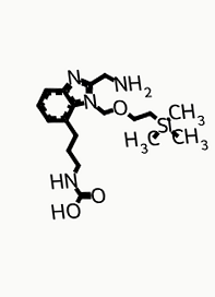 C[Si](C)(C)CCOCn1c(CN)nc2cccc(CCCNC(=O)O)c21